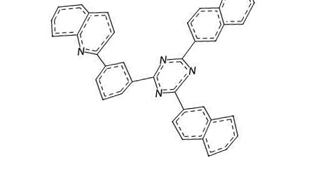 c1cc(-c2ccc3ccccc3n2)cc(-c2nc(-c3ccc4ccccc4c3)nc(-c3ccc4ccccc4c3)n2)c1